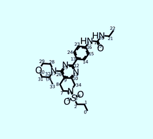 CCCS(=O)(=O)N1CCc2c(nc(-c3ccc(NC(=O)NCC)cc3)nc2N2CCOC[C@@H]2C)C1